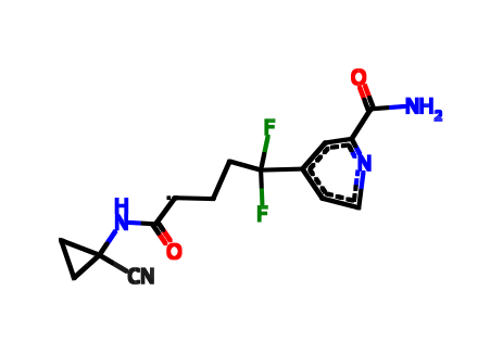 N#CC1(NC(=O)[CH]CCC(F)(F)c2ccnc(C(N)=O)c2)CC1